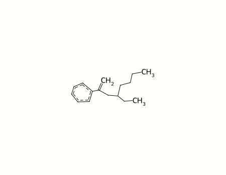 C=C(CC(CC)CCCC)c1ccccc1